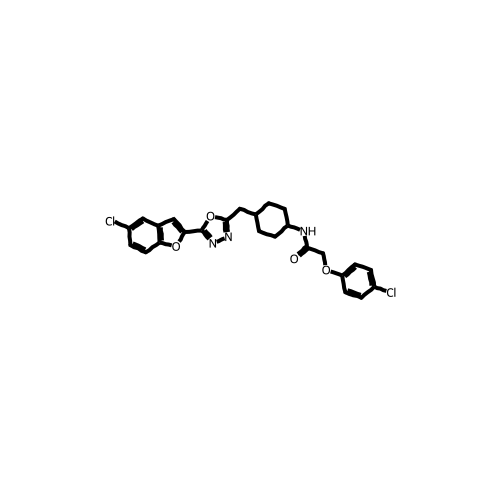 O=C(COc1ccc(Cl)cc1)NC1CCC(Cc2nnc(-c3cc4cc(Cl)ccc4o3)o2)CC1